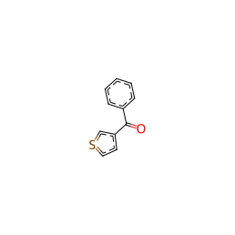 O=C(c1ccccc1)c1ccsc1